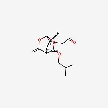 C=C1OC2OC(OCC(C)C)C1C(=C)[C@H]2CC=O